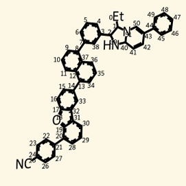 CCC1C(c2cccc(-c3cccc4c(-c5ccc6oc7c(-c8ccc(C#N)cc8)cccc7c6c5)cccc34)c2)NC2C=CC(c3ccccc3)=CN21